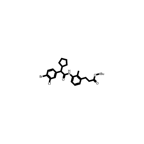 Cc1c(CCC(=O)OC(C)(C)C)cccc1NC(=O)C(c1ccc(Br)c(Cl)c1)C1CCCC1